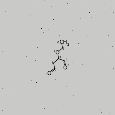 CCOC(C=O)CC=O